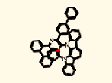 c1ccc(-c2ccc(-c3nc4c5ccccc5c5ccccc5c4nc3-n3c4ccccc4c4ccc5c6ccccc6n(-c6ccccc6)c5c43)cc2)cc1